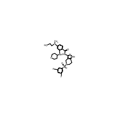 CN(CCO)c1ccc(C(=O)Nc2n[nH]c3c2CN(S(=O)(=O)c2cc(F)cc(F)c2)CC3)c(NC2CCOCC2)c1